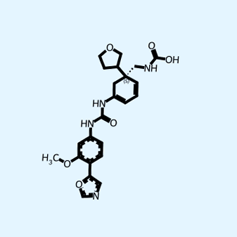 COc1cc(NC(=O)NC2=CC=C[C@](CNC(=O)O)(C3CCOC3)C2)ccc1-c1cnco1